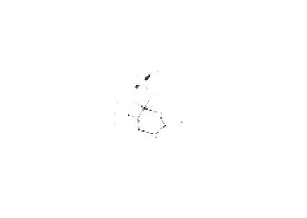 CCCCCCCCC1(OS(=O)(=O)[O-])O[C@H](CO)[C@@H](O)[C@H](O)[C@H]1O.[Na+]